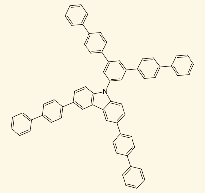 c1ccc(-c2ccc(-c3cc(-c4ccc(-c5ccccc5)cc4)cc(-n4c5ccc(-c6ccc(-c7ccccc7)cc6)cc5c5cc(-c6ccc(-c7ccccc7)cc6)ccc54)c3)cc2)cc1